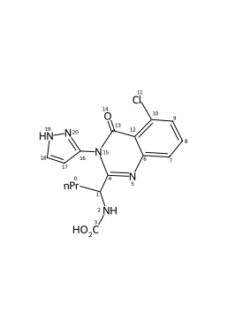 CCCC(NC(=O)O)c1nc2cccc(Cl)c2c(=O)n1-c1cc[nH]n1